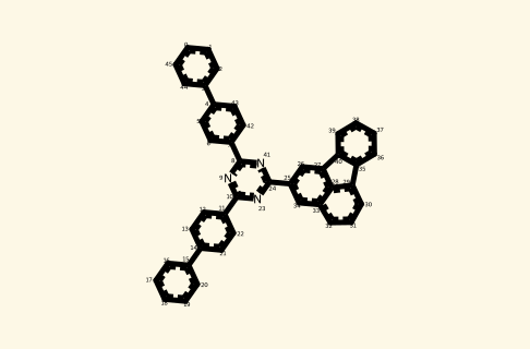 c1ccc(-c2ccc(-c3nc(-c4ccc(-c5ccccc5)cc4)nc(-c4cc5c6c(cccc6c4)-c4ccccc4-5)n3)cc2)cc1